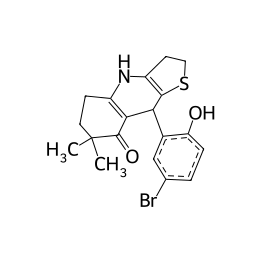 CC1(C)CCC2=C(C1=O)C(c1cc(Br)ccc1O)C1=C(CCS1)N2